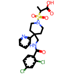 CC(C(=O)O)S(=O)(=O)N1CCC(CNC(=O)c2ccc(Cl)cc2Cl)(c2ccccn2)CC1